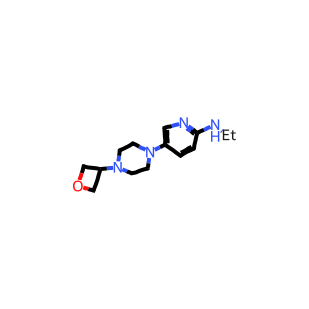 CCNc1ccc(N2CCN(C3COC3)CC2)cn1